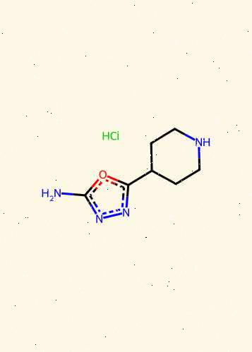 Cl.Nc1nnc(C2CCNCC2)o1